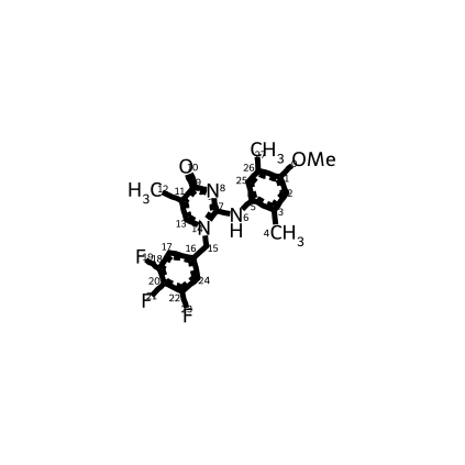 COc1cc(C)c(Nc2nc(=O)c(C)cn2Cc2cc(F)c(F)c(F)c2)cc1C